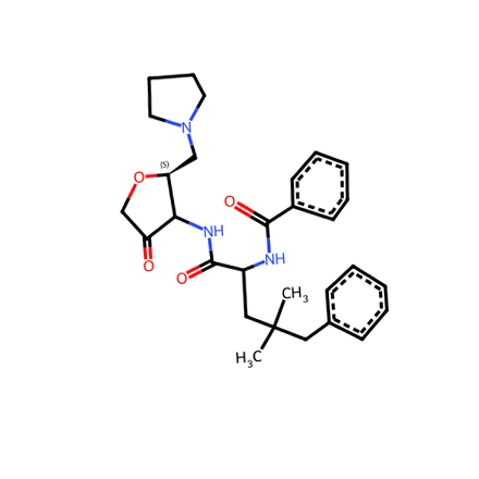 CC(C)(Cc1ccccc1)CC(NC(=O)c1ccccc1)C(=O)NC1C(=O)CO[C@H]1CN1CCCC1